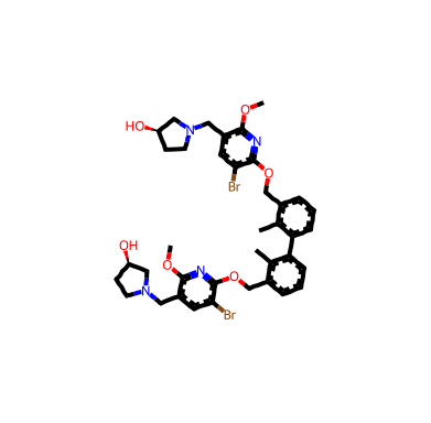 COc1nc(OCc2cccc(-c3cccc(COc4nc(OC)c(CN5CC[C@@H](O)C5)cc4Br)c3C)c2C)c(Br)cc1CN1CC[C@@H](O)C1